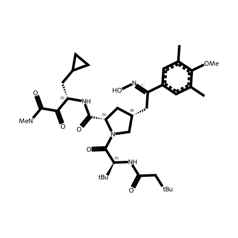 CNC(=O)C(=O)[C@H](CC1CC1)NC(=O)[C@@H]1C[C@H](C/C(=N\O)c2cc(C)c(OC)c(C)c2)CN1C(=O)[C@@H](NC(=O)CC(C)(C)C)C(C)(C)C